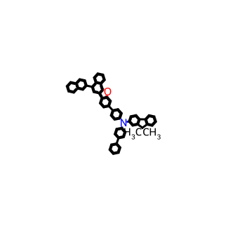 CC1(C)c2ccccc2-c2ccc(N(c3ccc(-c4ccccc4)cc3)c3ccc(-c4ccc5c(c4)oc4c6ccccc6c(-c6ccc7ccccc7c6)cc54)cc3)cc21